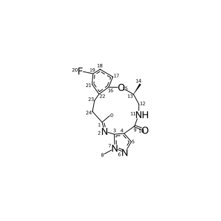 C/C1=N\c2c(cnn2C)C(=O)NC[C@H](C)Oc2ccc(F)cc2CC1